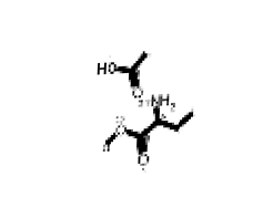 CC(=O)O.CCC(N)C(=O)OC